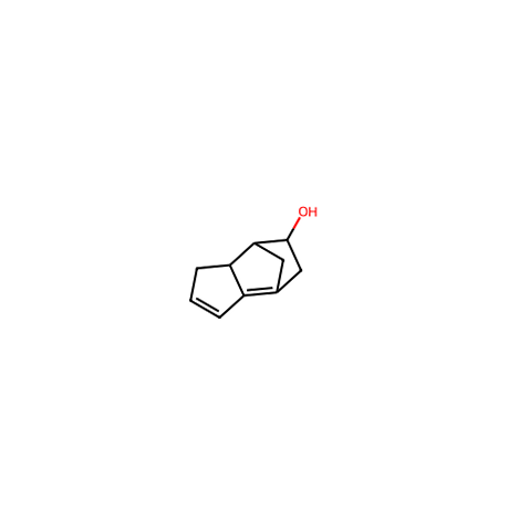 OC1CC2=C3C=CCC3C1C2